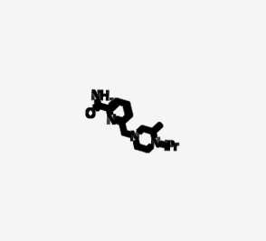 CC(C)N1CCN(Cc2cccc(C(N)=O)n2)CC1C